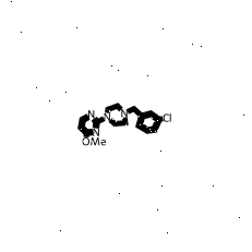 COc1ccnc(N2CCN(Cc3cccc(Cl)c3)CC2)n1